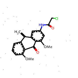 C=C1c2cccc(OC)c2C(=O)c2c(OC)cc(NC(=O)CCl)cc21